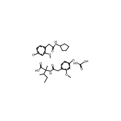 CCC(C)C(C)(NC(=O)Cc1ccc(Cl)cc1OC)C(=O)O.COc1cc(Cl)ccc1CC(=O)NC1CCCC1.O=C(O)O